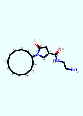 NCCNC(=O)C1CC(=O)N(C2CCCCCCCCCCC2)C1